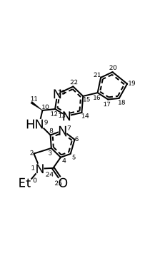 CCN1Cc2c(ccnc2N[C@@H](C)c2ncc(-c3ccccc3)cn2)C1=O